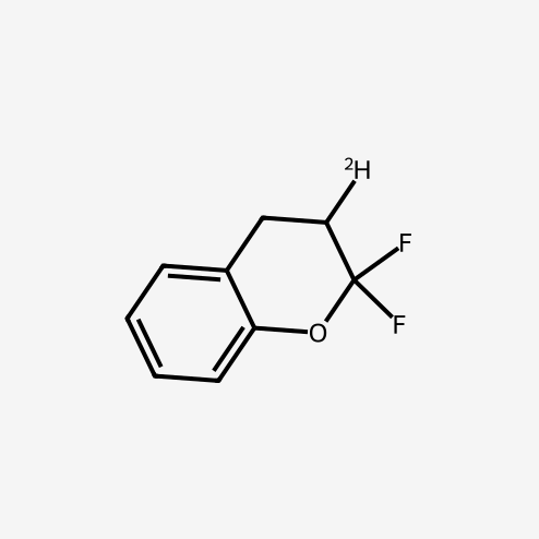 [2H]C1Cc2ccccc2OC1(F)F